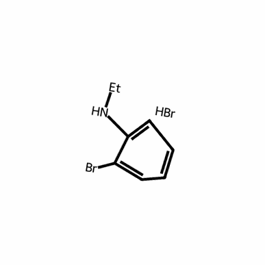 Br.CCNc1ccccc1Br